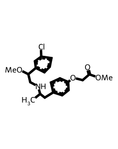 COC(=O)COc1ccc(CC(C)NCC(OC)c2cccc(Cl)c2)cc1